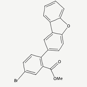 COC(=O)c1cc(Br)ccc1-c1ccc2oc3ccccc3c2c1